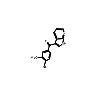 COc1cc(C(=O)c2c[nH]c3ncccc23)ccc1N=O